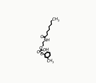 CCCCCCCC(=O)NCCOP(=O)(O)Oc1cccc(C)c1